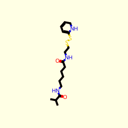 CC(C)C(=O)NCCCCCC(=O)NCCSSC1=CC=CCN1